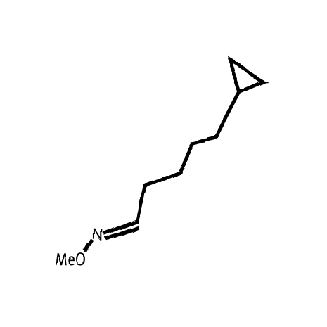 CON=CCCCCC1[CH]C1